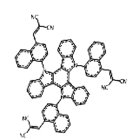 N#CC(C#N)=Cc1ccc(-n2c3ccccc3c3c2c2c4ccccc4n(-c4ccc(C=C(C#N)C#N)c5ccccc45)c2c2c4ccccc4n(-c4ccc(C=C(C#N)C#N)c5ccccc45)c32)c2ccccc12